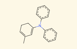 CC1=CCCC(N(c2ccccc2)c2ccccc2)=C1